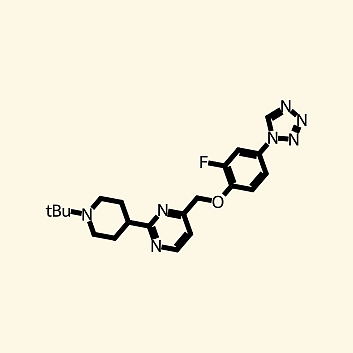 CC(C)(C)N1CCC(c2nccc(COc3ccc(-n4cnnn4)cc3F)n2)CC1